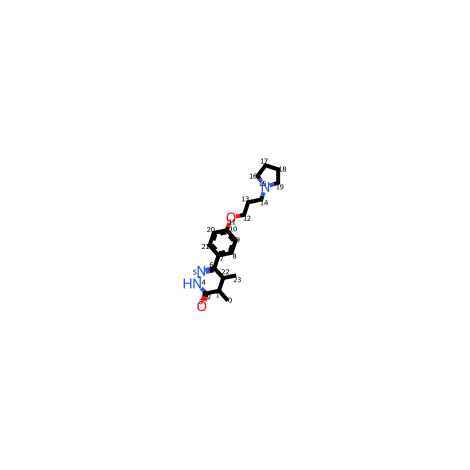 CC1C(=O)NN=C(c2ccc(OCCCN3CCCC3)cc2)C1C